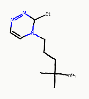 CCCC(C)(C)CCCN1C=CN=NC1CC